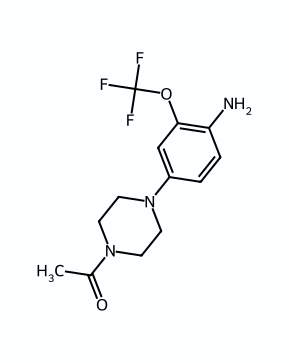 CC(=O)N1CCN(c2ccc(N)c(OC(F)(F)F)c2)CC1